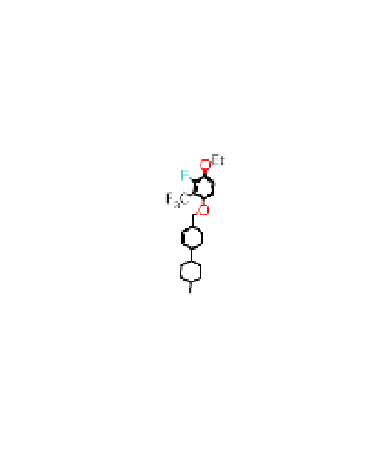 CCOc1ccc(OCC2C=CC(C3CCC(C)CC3)CC2)c(C(F)(F)F)c1F